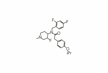 CC(C)Oc1ccc(CC(=O)N(Cc2ccc(F)cc2F)C2CCN(C)CC2F)cc1